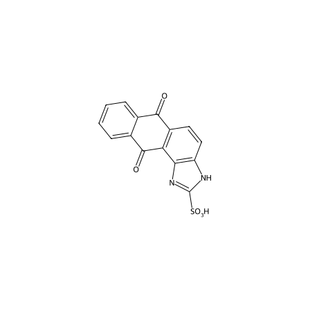 O=C1c2ccccc2C(=O)c2c1ccc1[nH]c(S(=O)(=O)O)nc21